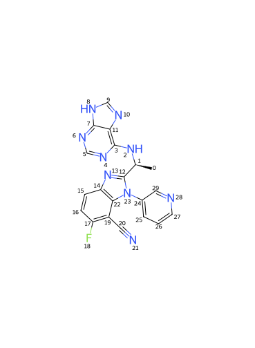 C[C@H](Nc1ncnc2[nH]cnc12)c1nc2ccc(F)c(C#N)c2n1-c1cccnc1